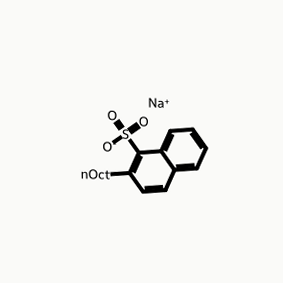 CCCCCCCCc1ccc2ccccc2c1S(=O)(=O)[O-].[Na+]